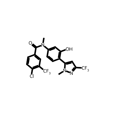 CN(C(=O)c1ccc(Cl)c(C(F)(F)F)c1)c1ccc(-c2cc(C(F)(F)F)nn2C)c(O)c1